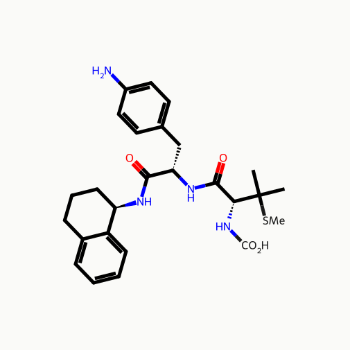 CSC(C)(C)[C@H](NC(=O)O)C(=O)N[C@@H](Cc1ccc(N)cc1)C(=O)N[C@@H]1CCCc2ccccc21